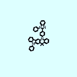 CC1(C)c2ccccc2N(c2ccc(-c3nc4ccccc4n3-c3ccccc3)cc2)c2cc3c4ccccc4n(-c4ccccc4)c3cc21